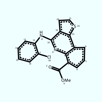 COC(=O)c1cccc2c1nc(Nc1ccccc1Cl)c1ccsc12